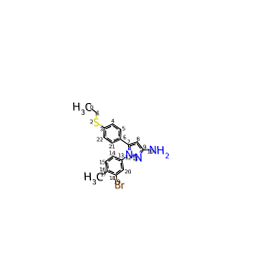 CCSc1ccc(-c2cc(N)nn2-c2ccc(C)c(Br)c2)cc1